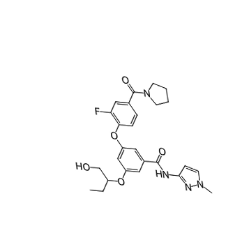 CCC(CO)Oc1cc(Oc2ccc(C(=O)N3CCCC3)cc2F)cc(C(=O)Nc2ccn(C)n2)c1